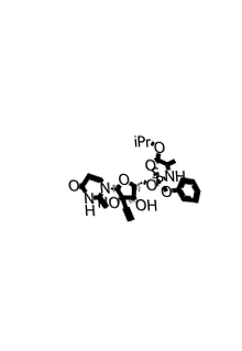 C#C[C@@]1(O)[C@H](O)[C@@H](COP(=S)(NC(C)C(=O)OC(C)C)Oc2ccccc2)O[C@H]1N1C=CC(=O)NC1=C